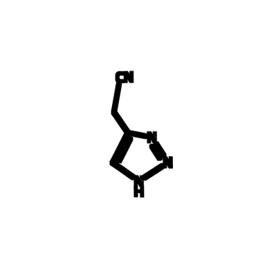 N#CCc1c[nH]nn1